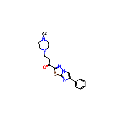 CC(=O)N1CCN(CCC(=O)c2nn3cc(-c4ccccc4)nc3s2)CC1